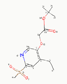 CCc1cc(S(C)(=O)=O)ncc1OCC(=O)OC(C)(C)C